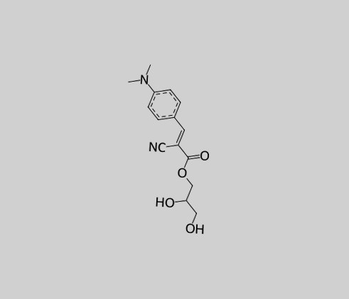 CN(C)c1ccc(/C=C(\C#N)C(=O)OCC(O)CO)cc1